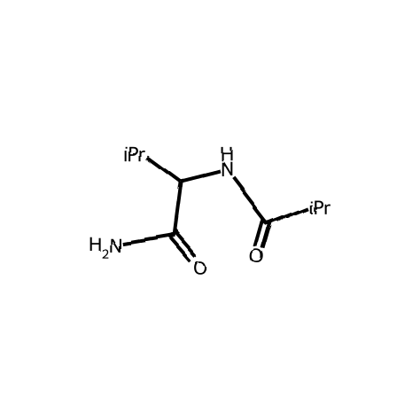 CC(C)C(=O)NC(C(N)=O)C(C)C